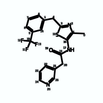 Cc1nc(Cc2cccc(C(F)(F)F)c2)sc1NC(=O)Cc1cccnc1